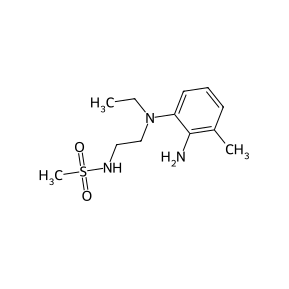 CCN(CCNS(C)(=O)=O)c1cccc(C)c1N